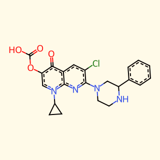 O=C(O)Oc1cn(C2CC2)c2nc(N3CCNC(c4ccccc4)C3)c(Cl)cc2c1=O